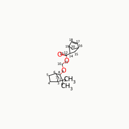 CC1(C)C2CCC(C2)C1OCOC(=O)C1CC2C=CC1C2